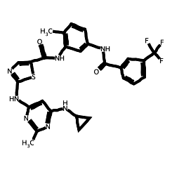 Cc1nc(Nc2ncc(C(=O)Nc3cc(NC(=O)c4cccc(C(F)(F)F)c4)ccc3C)s2)cc(NC2CC2)n1